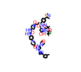 Cc1cccc(-c2ccn(-c3cc(N4CCOCC4)nc(OC4CCN(c5ccc(NC(=O)NC6CCN(C(=O)CC[C@H](NC(=O)[C@@H]7C[C@@H](O)CN7C(=O)[C@@H](NC(=O)C7(F)CC7)C(C)(C)C)c7ccc(-c8scnc8C)cc7)CC6)cc5)CC4)n3)n2)c1